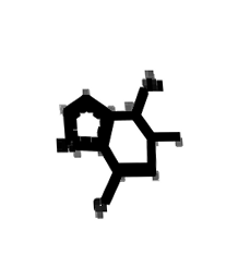 CC1C=C(Cl)c2[nH]ccc2C1C(C)(C)C